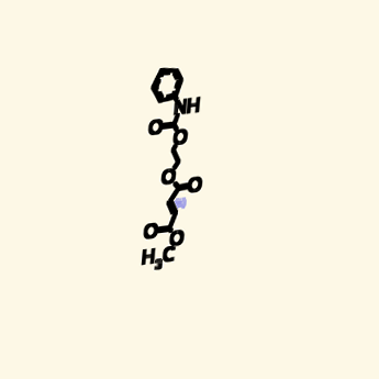 COC(=O)/C=C/C(=O)OCCOC(=O)Nc1ccccc1